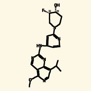 COc1ncc(C(C)C)c2nc(Nc3ccnc(N4CC[C@@H](O)[C@@H](F)C4)c3)ncc12